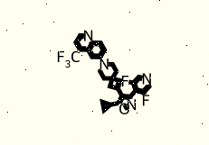 Fc1cncc(F)c1-c1noc(C2CC2)c1C1=CC2(CCN(c3ccc4nccc(C(F)(F)F)c4c3)CC2)C1